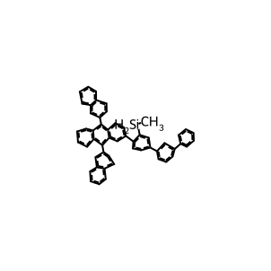 C[SiH2]c1cc(-c2cccc(-c3ccccc3)c2)ccc1-c1ccc2c(-c3ccc4ccccc4c3)c3ccccc3c(-c3ccc4ccccc4c3)c2c1